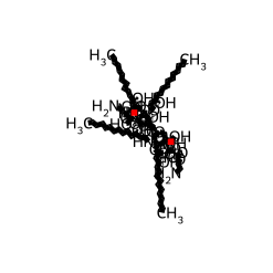 CCCCCCCCCCC[C@@H](O)CC(=O)NC1C(OC(=O)C[C@H](O)CCCCCCCCCCC)[C@H](O)C(CO[C@@H]2OCC(CO)[C@@H](OP(=O)(O)OP(=O)(O)OCCN)C(OC(=O)C[C@H](O)CCCCCCCCCCC)C2NC(=O)C[C@H](O)CCCCCCCCCCC)O[C@@H]1OP(=O)(O)OP(=O)(O)CCN